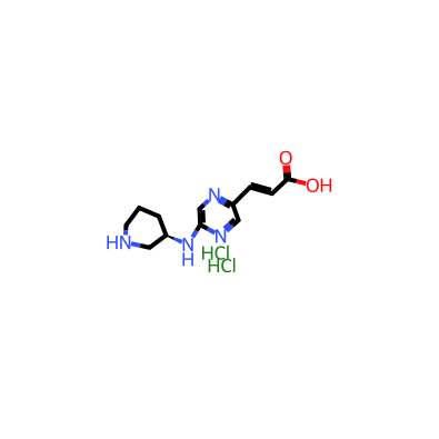 Cl.Cl.O=C(O)/C=C/c1cnc(N[C@@H]2CCCNC2)cn1